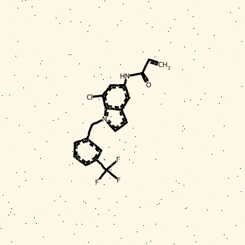 C=CC(=O)Nc1cc(Cl)c2c(ccn2Cc2cccc(C(F)(F)F)c2)c1